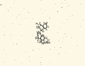 C[C@@H](NC(=O)Nc1nc2c3c(n[nH]c3c1C(F)(F)F)NCC2)c1ccccc1